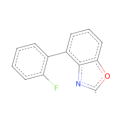 Fc1ccccc1-c1cccc2o[c]nc12